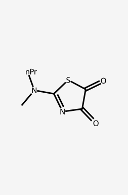 CCCN(C)C1=NC(=O)C(=O)S1